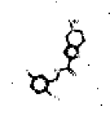 Cc1ccc(F)cc1CNC(=O)c1cc2c(s1)CCN(C=O)C2